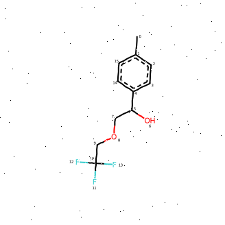 Cc1ccc(C(O)COCC(F)(F)F)cc1